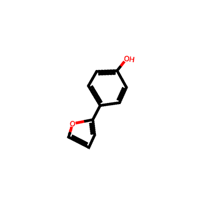 Oc1ccc(-c2ccco2)cc1